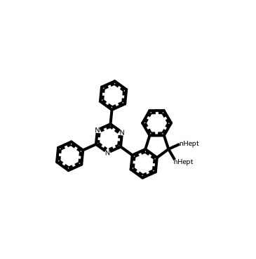 CCCCCCCC1(CCCCCCC)c2ccccc2-c2c(-c3nc(-c4ccccc4)nc(-c4ccccc4)n3)cccc21